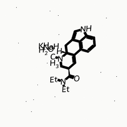 CCN(CC)C(=O)[C@@H]1C=C2c3cccc4[nH]cc(c34)C[C@H]2N(C)C1.O.[KH].[NaH]